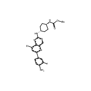 CCc1cc(-c2ccc(N)c(F)c2)nc2cnc(N[C@H]3CC[C@H](NC(=O)OC(C)(C)C)CC3)nc12